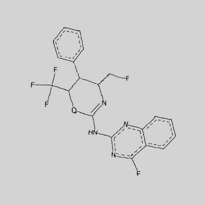 FCC1N=C(Nc2nc(F)c3ccccc3n2)OC(C(F)(F)F)C1c1ccccc1